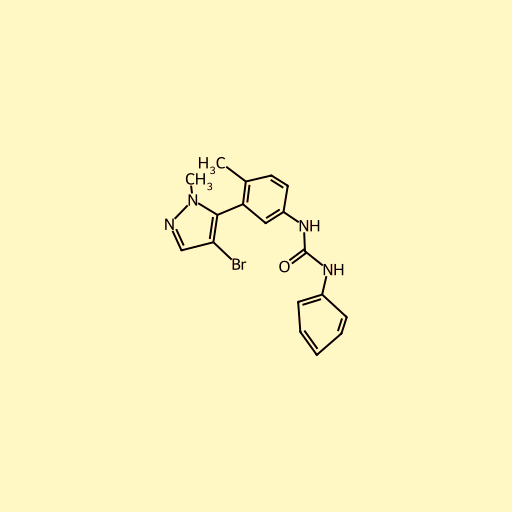 Cc1ccc(NC(=O)Nc2ccccc2)cc1-c1c(Br)cnn1C